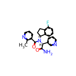 Cc1ncccc1C(=O)N([C@@H]1CCc2c(F)cccc21)[C@@H](C(N)=O)c1cccnc1